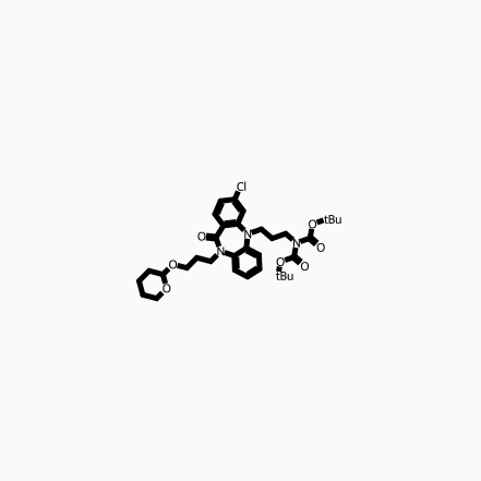 CC(C)(C)OC(=O)N(CCCN1c2cc(Cl)ccc2C(=O)N(CCCOC2CCCCO2)c2ccccc21)C(=O)OC(C)(C)C